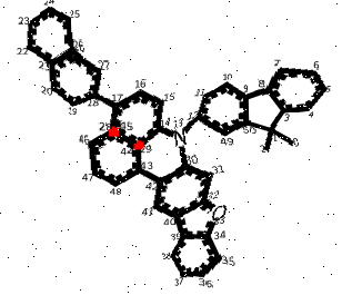 CC1(C)c2ccccc2-c2ccc(N(c3ccc(-c4ccc5ccccc5c4)cc3)c3cc4oc5ccccc5c4cc3-c3ccccc3)cc21